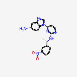 C[C@H](Nc1nccc(-n2cnc3cc(N)ccc32)n1)c1cccc([N+](=O)[O-])c1